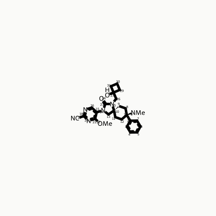 CN[C@]1(c2ccccc2)CC[C@]2(CC1)CN(c1cnc(C#N)nc1OC)C(=O)N2CC1(O)CCC1